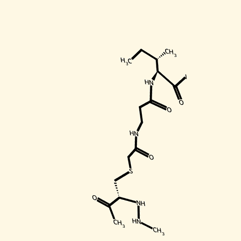 CC[C@H](C)[C@H](NC(=O)CCNC(=O)CSC[C@H](NNC)C(C)=O)C(=O)I